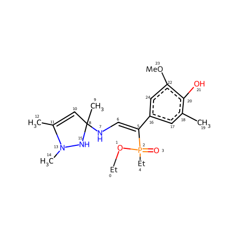 CCOP(=O)(CC)C(=CNC1(C)C=C(C)N(C)N1)c1cc(C)c(O)c(OC)c1